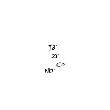 [Co].[Nb].[Ta].[Zr]